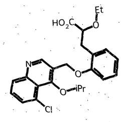 CCOC(Cc1ccccc1OCc1cnc2cccc(Cl)c2c1OC(C)C)C(=O)O